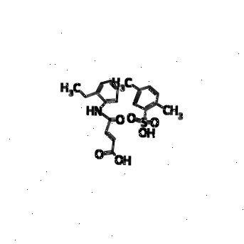 CCc1ccccc1NC(=O)C=CC(=O)O.Cc1ccc(C)c(S(=O)(=O)O)c1